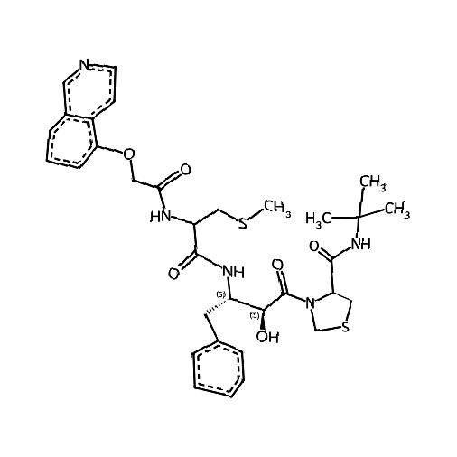 CSCC(NC(=O)COc1cccc2cnccc12)C(=O)N[C@@H](Cc1ccccc1)[C@H](O)C(=O)N1CSCC1C(=O)NC(C)(C)C